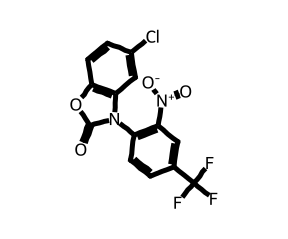 O=c1oc2ccc(Cl)cc2n1-c1ccc(C(F)(F)F)cc1[N+](=O)[O-]